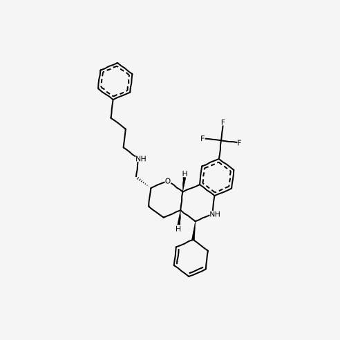 FC(F)(F)c1ccc2c(c1)[C@H]1O[C@@H](CNCCCc3ccccc3)CC[C@H]1[C@H](C1C=CC=CC1)N2